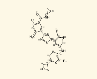 Cc1cc(F)c(C(=O)NC2CC2)cc1-c1cn(-c2cc(N[C@H]3CCN(C4COC4)C[C@H]3F)cnc2F)cn1